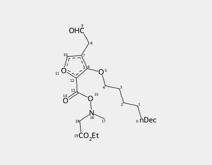 CCCCCCCCCCCCCCOc1c(CC=O)coc1C(=O)ON(C)CC(=O)OCC